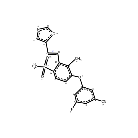 Cc1c(Oc2cc(F)cc(C#N)c2)ccc(S(=O)(=O)C(F)(F)F)c1/C=C/c1nnco1